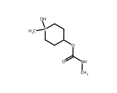 CNC(=O)OC1CC[P](C)(O)CC1